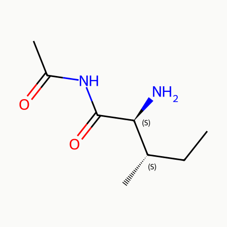 CC[C@H](C)[C@H](N)C(=O)NC(C)=O